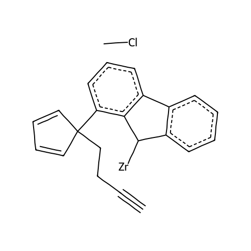 C#CCCC1(c2cccc3c2[CH]([Zr])c2ccccc2-3)C=CC=C1.CCl